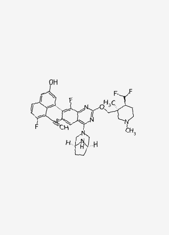 C#Cc1c(F)ccc2cc(O)cc(-c3c(F)cc4c(N5C[C@H]6CC[C@@H](C5)N6)nc(OC[C@]5(C)CN(C)CC[C@@H]5C(F)F)nc4c3F)c12